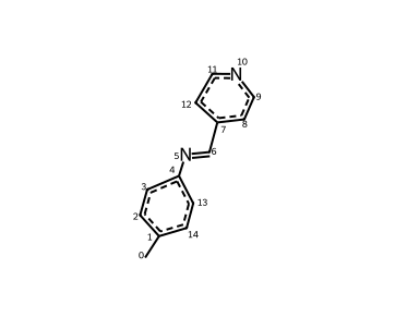 Cc1ccc(N=Cc2ccncc2)cc1